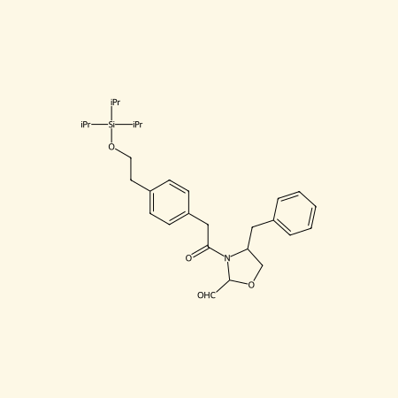 CC(C)[Si](OCCc1ccc(CC(=O)N2C(Cc3ccccc3)COC2C=O)cc1)(C(C)C)C(C)C